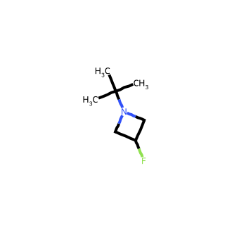 CC(C)(C)N1CC(F)C1